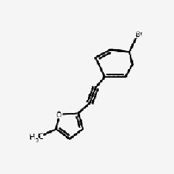 Cc1ccc(C#CC2=CCC(Br)C=C2)o1